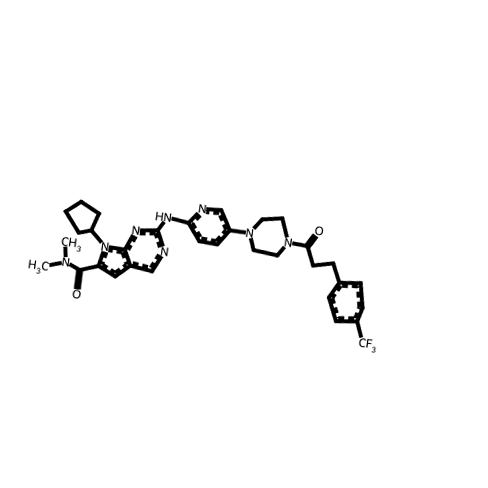 CN(C)C(=O)c1cc2cnc(Nc3ccc(N4CCN(C(=O)CCc5ccc(C(F)(F)F)cc5)CC4)cn3)nc2n1C1CCCC1